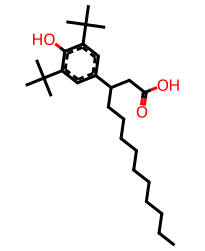 CCCCCCCCCCC(CC(=O)O)c1cc(C(C)(C)C)c(O)c(C(C)(C)C)c1